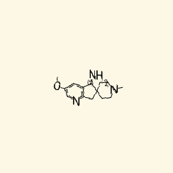 COc1cnc2c(c1)[C@@H](N)C1(CCN(C)CC1)C2